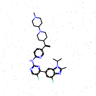 C=C(c1ccc(Nc2ncc(F)c(-c3cc(F)c4nc(C)n(C(C)C)c4c3)n2)nc1)C1CCN(C2CCN(C)CC2)CC1